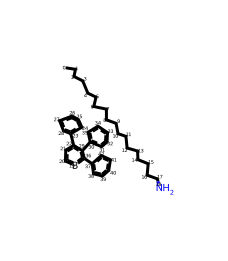 CCCCCCCCCCCCCCCCCCN.b1ccc(-c2ccccc2)c(-c2ccccc2)c1-c1ccccc1